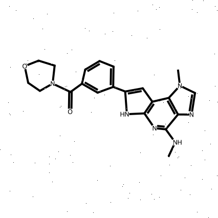 CNc1nc2[nH]c(-c3cccc(C(=O)N4CCOCC4)c3)cc2c2c1ncn2C